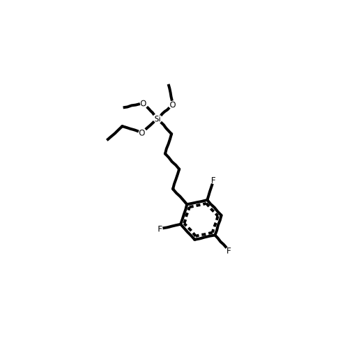 CCO[Si](CCCCc1c(F)cc(F)cc1F)(OC)OC